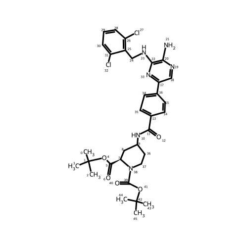 CC(C)(C)OC(=O)[C@H]1CC(NC(=O)c2ccc(-c3cnc(N)c(NCc4c(Cl)cccc4Cl)n3)cc2)CCN1C(=O)OC(C)(C)C